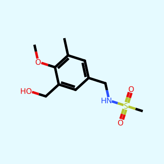 COc1c(C)cc(CNS(C)(=O)=O)cc1CO